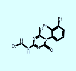 CCNNc1nc(CC)n(-c2cccc(CC)c2CC)c(=O)n1